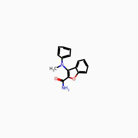 CN(c1ccccc1)c1c(C(N)=O)oc2ccccc12